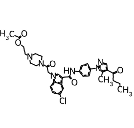 CCCC(=O)c1cnn(-c2ccc(NC(=O)c3cn(CC(=O)N4CCN(CCOC(C)=O)CC4)c4ccc(Cl)cc34)cc2)c1C